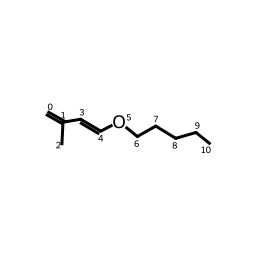 C=C(C)C=COCCCCC